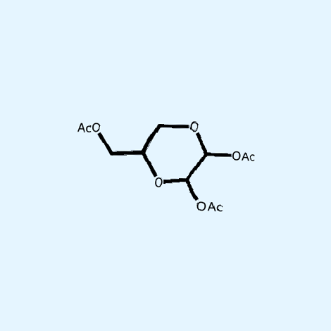 CC(=O)OCC1COC(OC(C)=O)C(OC(C)=O)O1